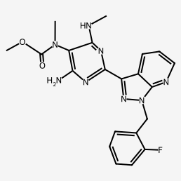 CNc1nc(-c2nn(Cc3ccccc3F)c3ncccc23)nc(N)c1N(C)C(=O)OC